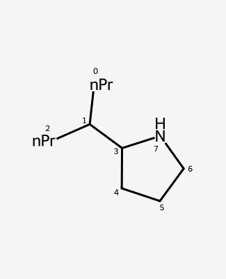 CCCC(CCC)C1CCCN1